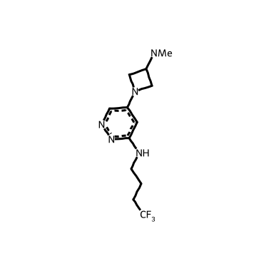 CNC1CN(c2cnnc(NCCCC(F)(F)F)c2)C1